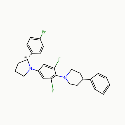 Fc1cc(N2CCC[C@@H]2c2ccc(Br)cc2)cc(F)c1N1CCC(c2ccccc2)CC1